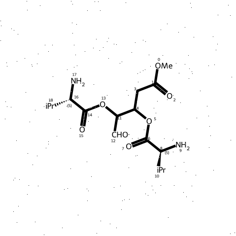 COC(=O)CC(OC(=O)[C@@H](N)C(C)C)C([C]=O)OC(=O)[C@@H](N)C(C)C